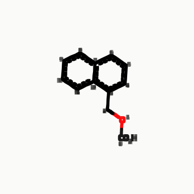 O=C(O)OCc1cccc2ccccc12